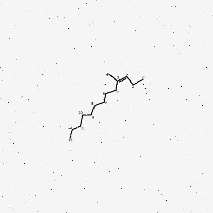 CCC=C(C)CCCCCCCCC